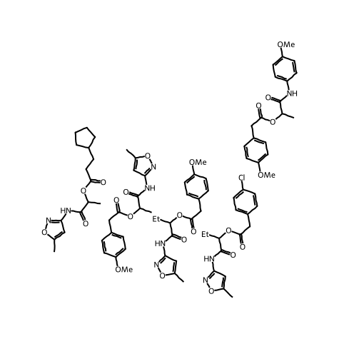 CCC(OC(=O)Cc1ccc(Cl)cc1)C(=O)Nc1cc(C)on1.CCC(OC(=O)Cc1ccc(OC)cc1)C(=O)Nc1cc(C)on1.COc1ccc(CC(=O)OC(C)C(=O)Nc2cc(C)on2)cc1.COc1ccc(CC(=O)OC(C)C(=O)Nc2ccc(OC)cc2)cc1.Cc1cc(NC(=O)C(C)OC(=O)CCC2CCCC2)no1